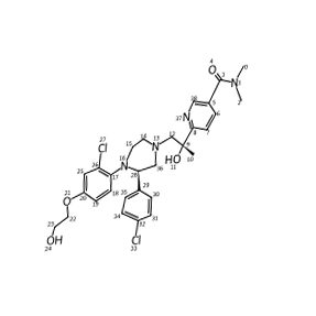 CN(C)C(=O)c1ccc([C@](C)(O)CN2CCN(c3ccc(OCCO)cc3Cl)[C@H](c3ccc(Cl)cc3)C2)nc1